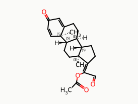 CC(=O)OC(C=O)=C1CC[C@H]2[C@@H]3CCC4=CC(=O)C=C[C@]4(C)[C@H]3CC[C@]12C